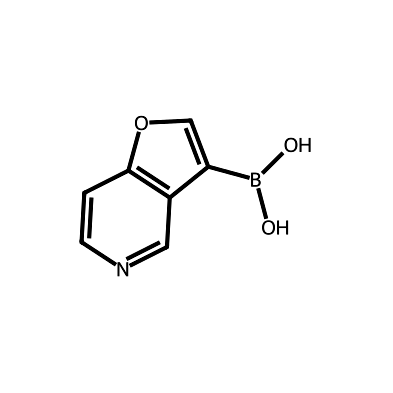 OB(O)c1coc2ccncc12